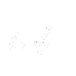 CN[C@@H](C)C(=O)N[C@H](C(=O)N1CCCC1C(=O)N[C@H](C(=O)NCCCCNC(=O)COc1c(-c2csc(N3CCOCC3)n2)ccc(F)c1F)C(c1ccccc1)c1ccccc1)C1CCCCC1